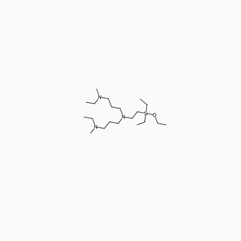 CCO[Si](CC)(CC)CCN(CCCN(C)CC)CCCN(C)CC